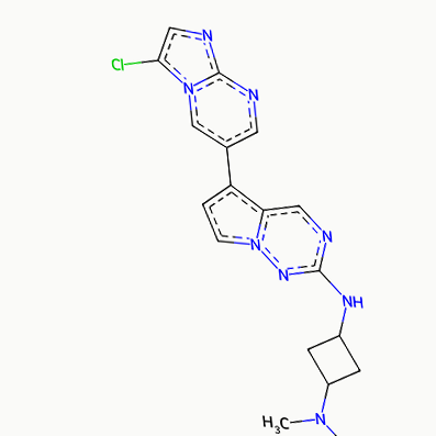 CN(C)C1CC(Nc2ncc3c(-c4cnc5ncc(Cl)n5c4)ccn3n2)C1